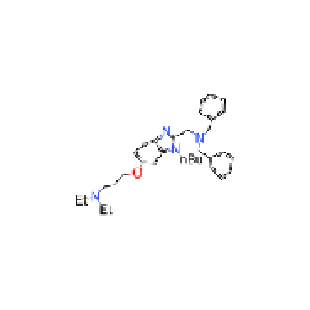 CCCCn1c(CN(Cc2ccccc2)Cc2ccccc2)nc2ccc(OCCCN(CC)CC)cc21